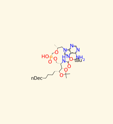 CCCCCCCCCCCCCC[C@H]1OC(C)(C)O[C@H]1[C@H](COP(=O)(O)CO[C@H](C)Cn1cnc2c(N)ncnc21)NC(=O)OC(C)(C)C